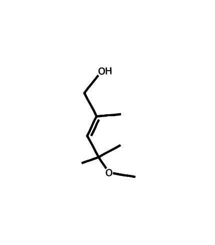 COC(C)(C)/C=C(\C)CO